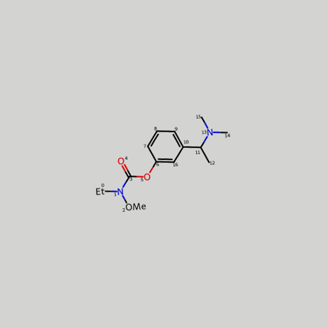 CCN(OC)C(=O)Oc1cccc(C(C)N(C)C)c1